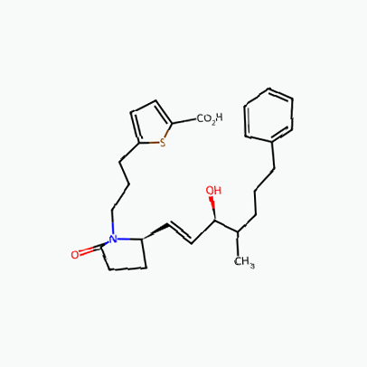 CC(CCCc1ccccc1)[C@H](O)C=C[C@H]1CCC(=O)N1CCCc1ccc(C(=O)O)s1